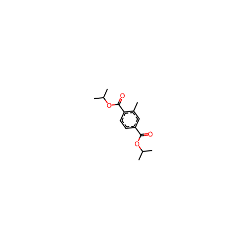 Cc1cc(C(=O)OC(C)C)ccc1C(=O)OC(C)C